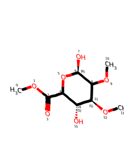 COC(=O)C1O[C@@H](O)C(OC)[C@@H](OC)[C@@H]1O